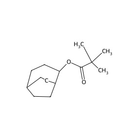 CC(C)(C)C(=O)OC1CCC2CCC1CC2